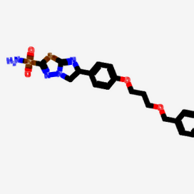 NS(=O)(=O)C1=NN2CC(c3ccc(OCCCOCc4ccccc4)cc3)N=C2S1